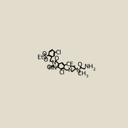 CCS(=O)(=O)c1ccc(Cl)cc1Cn1c(=O)[nH]c2c(Cl)c(CN3CCC(N(C)C(=O)CN)C3)c(C(F)(F)F)cc2c1=O